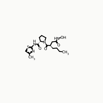 CCCC[C@H](CC(=O)NO)C(=O)N1CCC[C@H]1C(=O)Nc1nc(C)cs1